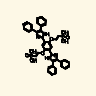 O=P(O)(O)CCOc1cc(-c2nc(-c3ccccc3)c(-c3ccccc3)[nH]2)c(OCCP(=O)(O)O)cc1-c1nc(-c2ccccc2)c(-c2ccccc2)[nH]1